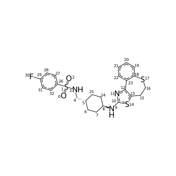 O=S(=O)(NC[C@H]1CC[C@H](Nc2nc3c(s2)CCSc2ccccc2-3)CC1)c1ccc(F)cc1